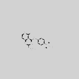 CSc1nc(Nc2ccc(S(C)(=O)=O)cc2)c2c(=O)[nH]ccc2n1